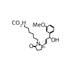 COc1cccc(C(O)/C=C/[C@H]2CCC(=O)N2CCCCCCC(=O)O)c1